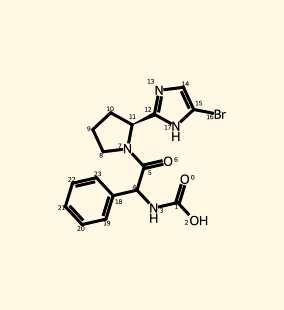 O=C(O)NC(C(=O)N1CCC[C@H]1c1ncc(Br)[nH]1)c1ccccc1